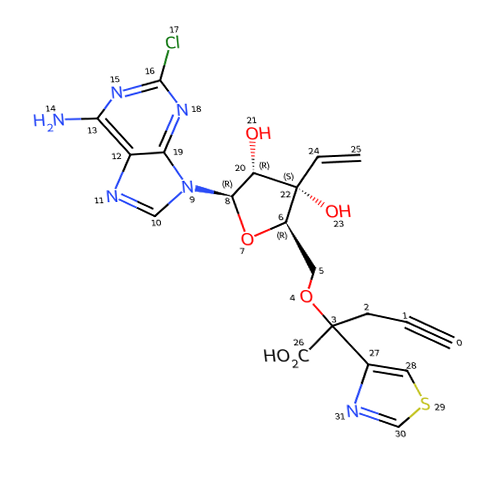 C#CCC(OC[C@H]1O[C@@H](n2cnc3c(N)nc(Cl)nc32)[C@H](O)[C@@]1(O)C=C)(C(=O)O)c1cscn1